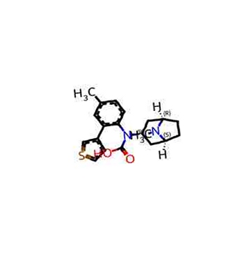 Cc1ccc(N(C(=O)O)[C@H]2C[C@H]3CC[C@@H](C2)N3C)c(-c2ccsc2)c1